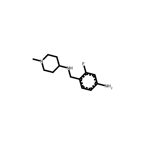 CN1CCC(NCc2ccc(N)cc2F)CC1